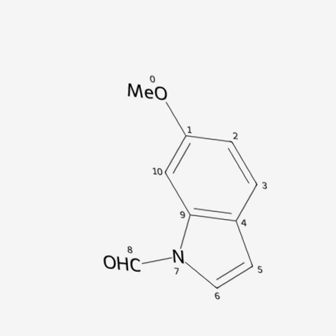 COc1ccc2ccn(C=O)c2c1